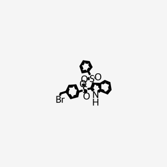 O=S(=O)(c1ccc(CBr)cc1)c1[nH]c2ccccc2c1S(=O)(=O)c1ccccc1